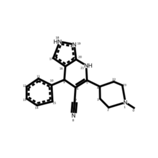 CN1CCC(C2=C(C#N)C(c3ccccc3)c3c[nH]nc3N2)CC1